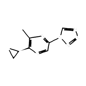 Cc1nc(-n2cnnn2)cnc1[C@H]1CO1